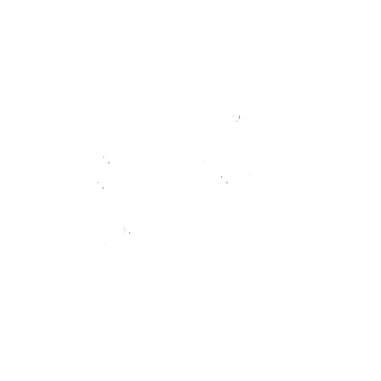 COc1ccccc1C(C)(C)NC(=O)c1cc2c(NC(=O)c3cccs3)n[nH]c2s1